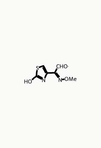 CO/N=C(\[C]=O)c1csc(O)n1